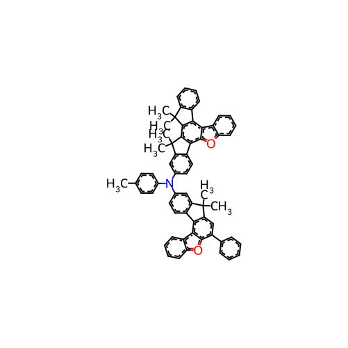 Cc1ccc(N(c2ccc3c(c2)C(C)(C)c2cc(-c4ccccc4)c4oc5ccccc5c4c2-3)c2ccc3c(c2)C(C)(C)c2c4c(c5c(oc6ccccc65)c2-3)-c2ccccc2C4(C)C)cc1